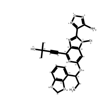 CCn1c(-c2nonc2N)nc2c(C#CC(C)(C)O)nc(OC(CN)c3cccc4c3OCO4)cc21